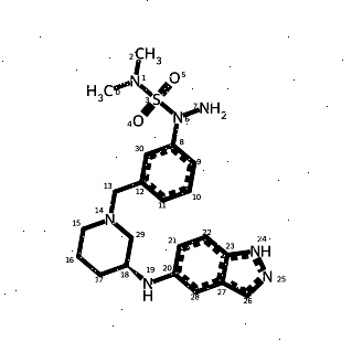 CN(C)S(=O)(=O)N(N)c1cccc(CN2CCC[C@H](Nc3ccc4[nH]ncc4c3)C2)c1